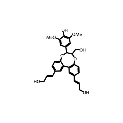 COc1cc(C2Oc3ccc(/C=C/CO)cc3-c3cc(/C=C/CO)ccc3OC2CO)cc(OC)c1O